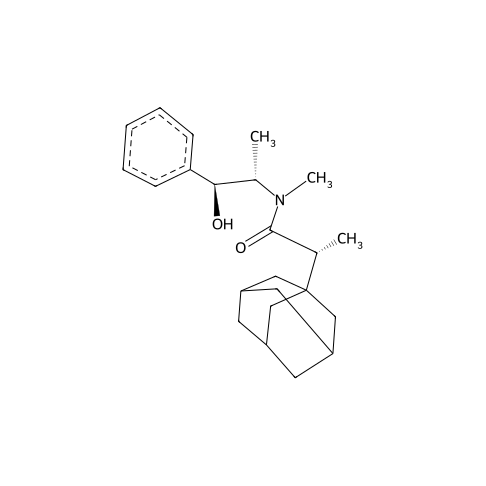 C[C@@H]([C@@H](O)c1ccccc1)N(C)C(=O)[C@H](C)C12CC3CC(CC(C3)C1)C2